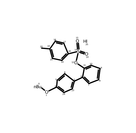 CCCCOc1ccc(-c2ccccc2OS(=O)(=O)c2ccc(C)cc2)cc1.I